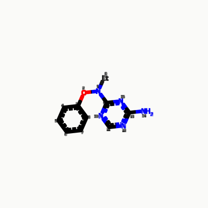 CCN(Oc1ccccc1)c1ncnc(N)n1